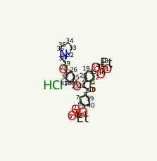 CCS(=O)(=O)Oc1ccc(-c2sc3cc(OS(=O)(=O)CC)ccc3c2Oc2ccc(OCCN3CCCCC3)cc2)cc1.Cl